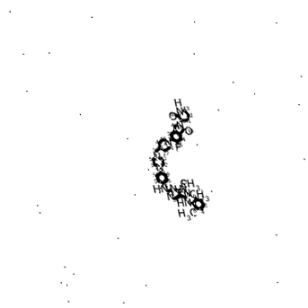 Cc1cccc(C)c1Nc1nn(C)c2nc(Nc3ccc(N4CCN(CC5CCN(c6cc7c(cc6F)C(=O)N(C6CCCNC6=O)C7)CC5)CC4)cc3)ncc12